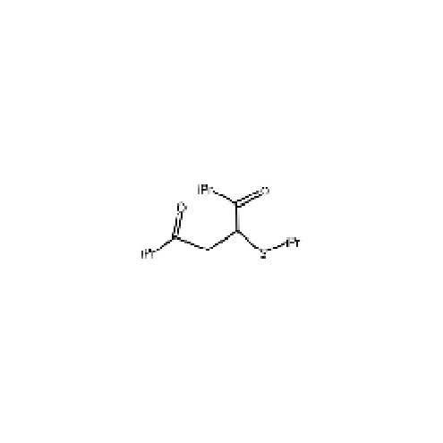 CC(C)SC(CC(=O)C(C)C)C(=O)C(C)C